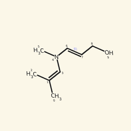 CC(C)=CN(C)/C=C/CO